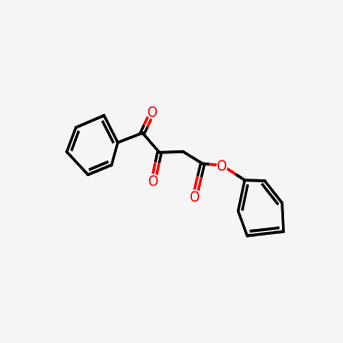 O=C(CC(=O)C(=O)c1ccccc1)Oc1ccccc1